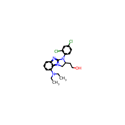 CCN(CC)c1cccc2nc3n(c12)CC(CCO)N3c1ccc(Cl)cc1Cl